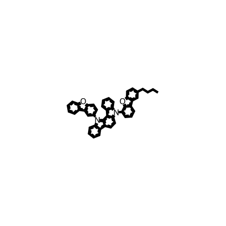 CCCCc1ccc2oc3c(-n4c5ccccc5c5c4ccc4c6ccccc6n(-c6ccc7oc8ccccc8c7c6)c45)cccc3c2c1